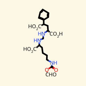 O=COC(=O)NCCCCC(NCNC(CC(C(=O)O)c1ccccc1)C(=O)O)C(=O)O